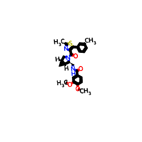 COc1ccc(C(=O)NC[C@@H]2[C@@H]3C[C@@H]3CN2C(=O)c2nc(C)sc2-c2cccc(C)c2)cc1OC